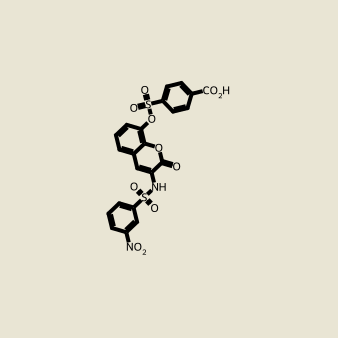 O=C(O)c1ccc(S(=O)(=O)Oc2cccc3cc(NS(=O)(=O)c4cccc([N+](=O)[O-])c4)c(=O)oc23)cc1